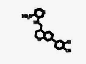 N#Cc1ccc(-c2ccc3c(c2)OCCC3CNc2cnccc2C(=O)O)cc1Cl